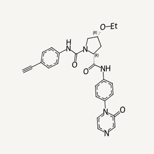 C#Cc1ccc(NC(=O)N2C[C@H](OCC)C[C@@H]2C(=O)Nc2ccc(-n3ccncc3=O)cc2)cc1